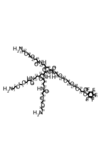 NCCOCCOCCC(=O)NCCCCC(NC(=O)CCCNC(=O)CCOCCOCCN)C(=O)N[C@@H](CCCCNC(=O)CCOCCOCCN)C(=O)NCCOCCOCCOCCOCCC(=O)Oc1c(F)c(F)c(F)c(F)c1F